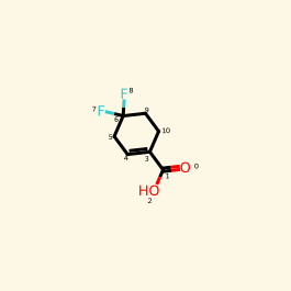 O=C(O)C1=CCC(F)(F)CC1